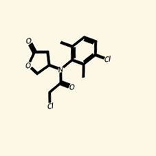 Cc1ccc(Cl)c(C)c1N(C(=O)CCl)C1COC(=O)C1